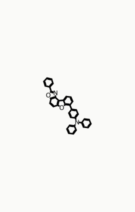 c1ccc(-c2nc3c(ccc4oc5c(-c6ccc(N(c7ccccc7)c7ccccc7)cc6)cccc5c43)o2)cc1